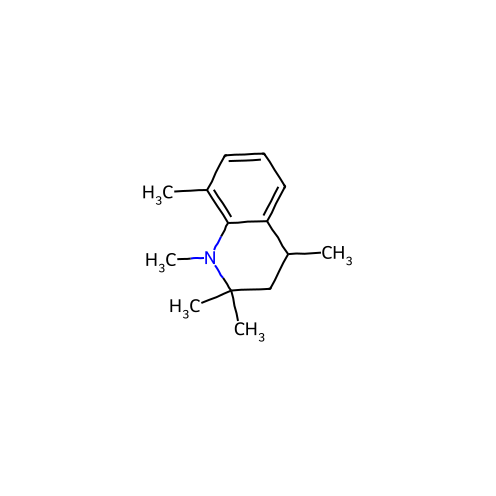 Cc1cccc2c1N(C)C(C)(C)CC2C